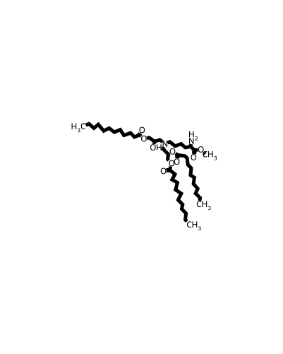 CCCCCCCCCCCC(=O)OCC(O)CN(CCCCC(N)C(=O)OC)CC(COC(=O)CCCCCCCCCCC)OC(=O)CCCCCCCCCCC